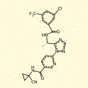 C[C@H](NC(=O)c1cc(Cl)cc(C(F)(F)F)c1)c1ncnn1-c1ccc(C(=O)NC2(C#N)CC2)cn1